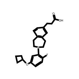 O=C(O)CCc1ccc2c(c1)CCN(c1cc(OC3CCC3)ccc1F)CC2